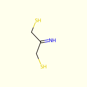 N=C(CS)CS